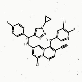 N#Cc1cnc2c(Cl)cc(N[C@@H](c3ccc(F)cc3)c3cn(C4CC4)nn3)cc2c1Nc1cnc(F)c(Cl)c1